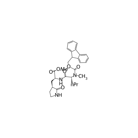 CCC[C@@H](C(=O)N[C@@H](C[C@@H]1CCNC1=O)C(=O)OC)N(C)C(=O)OCC1c2ccccc2-c2ccccc21